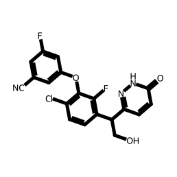 N#Cc1cc(F)cc(Oc2c(Cl)ccc(C(CO)c3ccc(=O)[nH]n3)c2F)c1